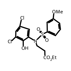 CCOC(=O)CCN(c1cc(Cl)cc(Cl)c1O)S(=O)(=O)c1cccc(OC)c1